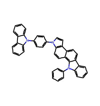 c1ccc(-n2c3ccccc3c3ccc4c5ccn(-c6ccc(-n7c8ccccc8c8ccccc87)cc6)c5ccc4c32)cc1